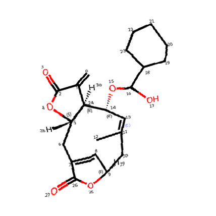 C=C1C(=O)O[C@H]2CC3=C[C@@H](C/C(C)=C/[C@@H](OC(O)C4CCCCC4)[C@H]12)OC3=O